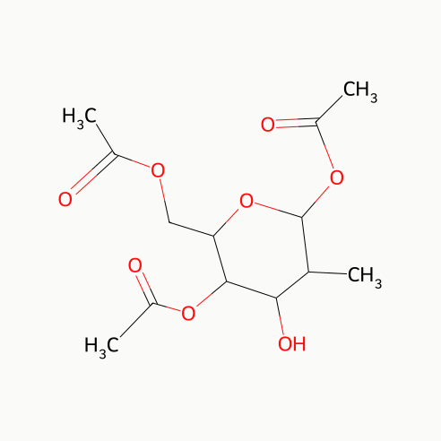 CC(=O)OCC1OC(OC(C)=O)C(C)C(O)C1OC(C)=O